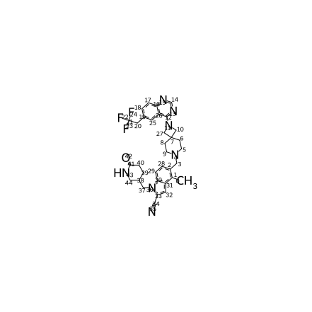 Cc1c(CN2CCC3(CC2)CN(c2ncnc4ccc(CC(F)(F)F)cc24)C3)ccc2c1cc(C#N)n2CC1CCC(=O)NC1